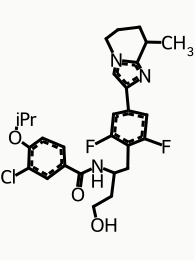 CC(C)Oc1ccc(C(=O)NC(CCO)Cc2c(F)cc(-c3cn4c(n3)C(C)CCC4)cc2F)cc1Cl